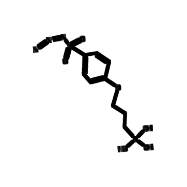 [N-]=[N+]=NS(=O)(=O)c1ccc(OCCC[Si](O)(O)O)cc1